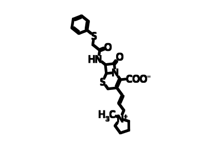 C[N+]1(CC=CC2=C(C(=O)[O-])N3C(=O)C(NC(=O)CSc4ccccc4)C3SC2)CCCC1